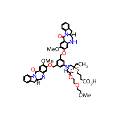 C=CC(C)(CN(CCOCCOCCOC)c1cc(COc2cc3c(cc2OC)C(=O)N2c4ccccc4C[C@H]2C=N3)cc(COc2cc3c(cc2OC)C(=O)N2c4ccccc4C[C@H]2CN3)c1)SCCCC(=O)O